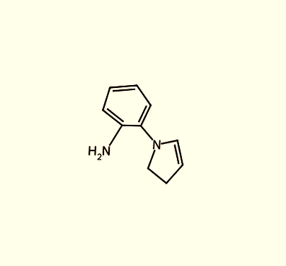 Nc1ccccc1N1C=CCC1